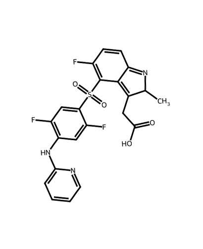 CC1N=c2ccc(F)c(S(=O)(=O)c3cc(F)c(Nc4ccccn4)cc3F)c2=C1CC(=O)O